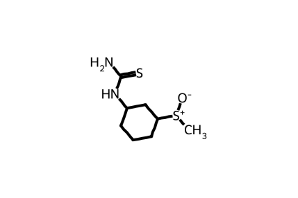 C[S+]([O-])C1CCCC(NC(N)=S)C1